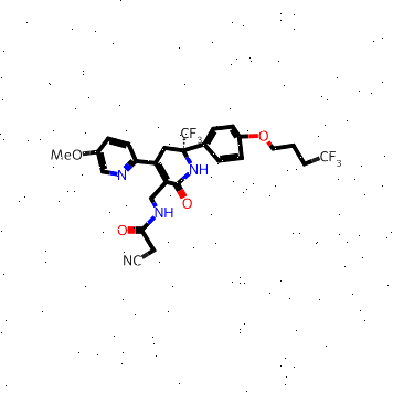 COc1ccc(C2=C(CNC(=O)CC#N)C(=O)N[C@@](c3ccc(OCCCC(F)(F)F)cc3)(C(F)(F)F)C2)nc1